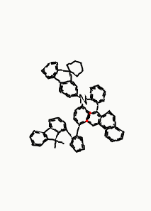 CC1(C)c2ccccc2-c2cccc(-c3ccccc3-c3ccc(N(c4ccc5c(c4)C4(CCCCC4)c4ccccc4-5)c4ccccc4-c4cccc5c4ccc4ccccc45)cc3)c21